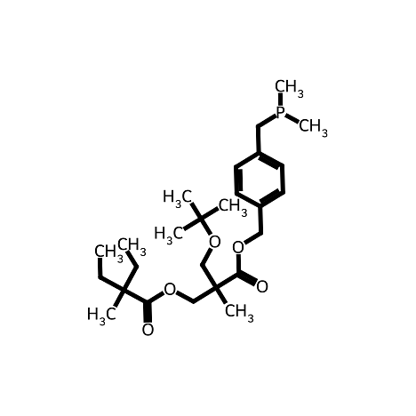 CCC(C)(CC)C(=O)OCC(C)(COC(C)(C)C)C(=O)OCc1ccc(CP(C)C)cc1